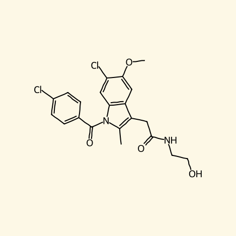 COc1cc2c(CC(=O)NCCO)c(C)n(C(=O)c3ccc(Cl)cc3)c2cc1Cl